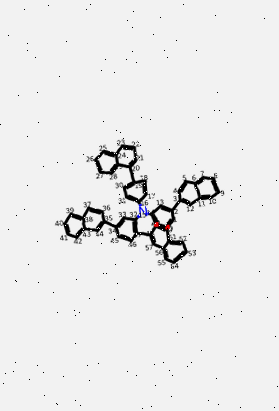 c1cc(-c2ccc3ccccc3c2)cc(N(c2ccc(-c3cccc4ccccc34)cc2)c2cc(-c3ccc4ccccc4c3)ccc2-c2ccc3ccccc3c2)c1